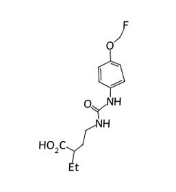 CCC(CCNC(=O)Nc1ccc(OCF)cc1)C(=O)O